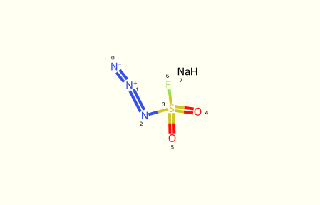 [N-]=[N+]=NS(=O)(=O)F.[NaH]